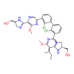 C\C=C(/N=C(OC)\C(C1=NC[C@@H](CO)N1)=C(/C)CC)c1cccc(-c2cccc(-c3cnc(C4=NC/C(=C\O)N4)c(OC)n3)c2Cl)c1Cl